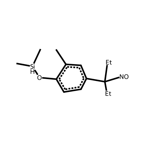 CCC(CC)(N=O)c1ccc(O[SiH](C)C)c(C)c1